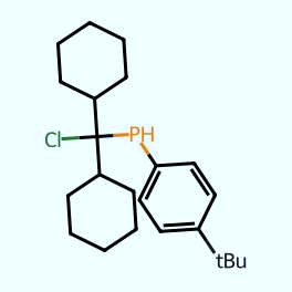 CC(C)(C)c1ccc(PC(Cl)(C2CCCCC2)C2CCCCC2)cc1